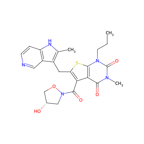 CCCn1c(=O)n(C)c(=O)c2c(C(=O)N3C[C@H](O)CO3)c(Cc3c(C)[nH]c4ccncc34)sc21